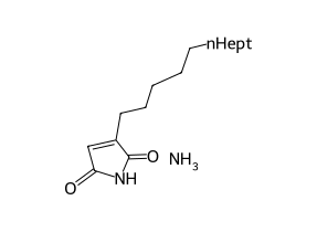 CCCCCCCCCCCCC1=CC(=O)NC1=O.N